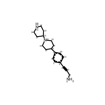 NCC#Cc1ccc(C2CCN(C3CCNCC3)CC2)cc1